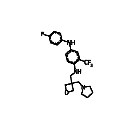 Fc1ccc(Nc2ccc(NCC3(CN4CCCC4)COC3)c(C(F)(F)F)c2)cc1